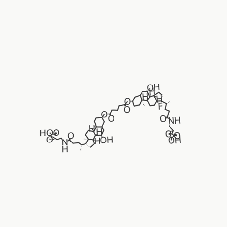 C[C@H](CCC(=O)NCCS(=O)(=O)O)[C@H]1CC[C@H]2[C@@H]3[C@H](O)CC4C[C@H](OC(=O)CCCC(=O)O[C@@H]5CC[C@@]6(C)C(C5)C[C@@H](O)[C@H]5[C@@H]7CC[C@H]([C@H](C)CCC(=O)NCCS(=O)(=O)O)[C@@]7(F)CC[C@@H]56)CC[C@]4(C)[C@H]3CC[C@]12C